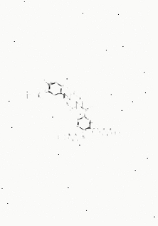 COc1ccc(C(C)N2CCN(c3ccc(F)c(C(F)(F)F)c3)CC2)cc1OC